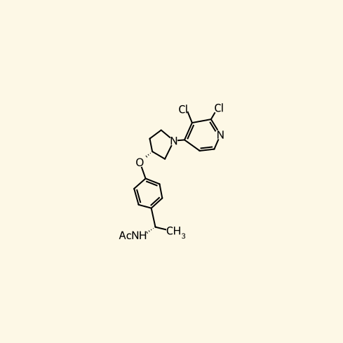 CC(=O)N[C@@H](C)c1ccc(O[C@@H]2CCN(c3ccnc(Cl)c3Cl)C2)cc1